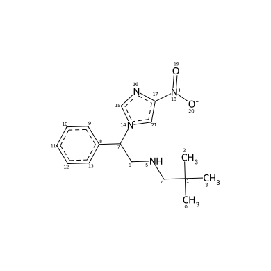 CC(C)(C)CNCC(c1ccccc1)n1cnc([N+](=O)[O-])c1